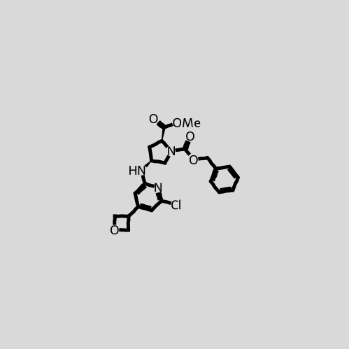 COC(=O)[C@@H]1C[C@H](Nc2cc(C3COC3)cc(Cl)n2)CN1C(=O)OCc1ccccc1